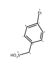 CCc1ccc(CS(=O)(=O)O)cc1